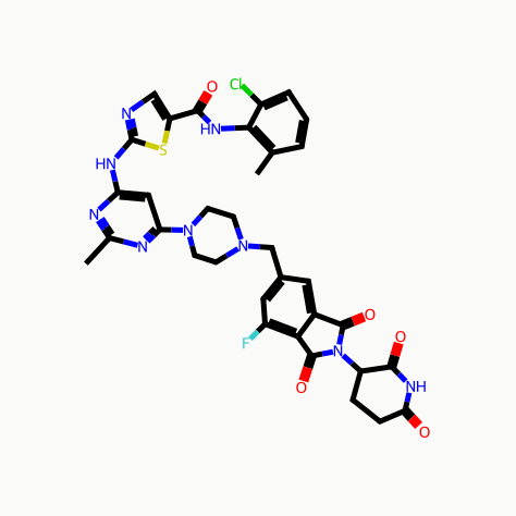 Cc1nc(Nc2ncc(C(=O)Nc3c(C)cccc3Cl)s2)cc(N2CCN(Cc3cc(F)c4c(c3)C(=O)N(C3CCC(=O)NC3=O)C4=O)CC2)n1